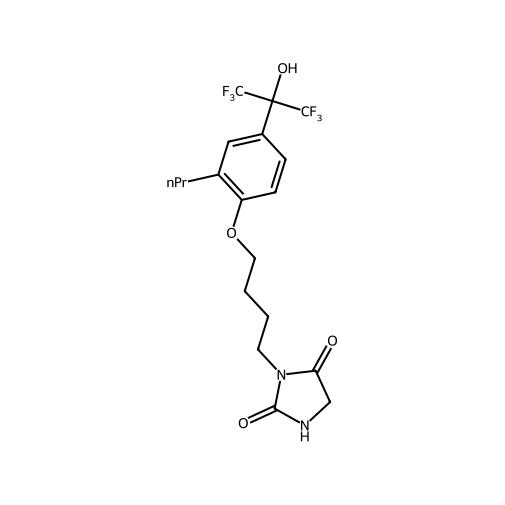 CCCc1cc(C(O)(C(F)(F)F)C(F)(F)F)ccc1OCCCCN1C(=O)CNC1=O